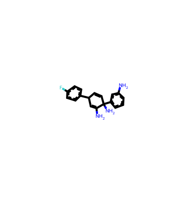 NC1=CC(c2ccc(F)cc2)C=CC1(N)c1cccc(N)c1